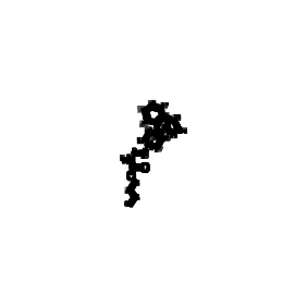 CCCCOC(=O)N(C)CCN1CCC(c2ccccc2)(N2CCCC2)CC1